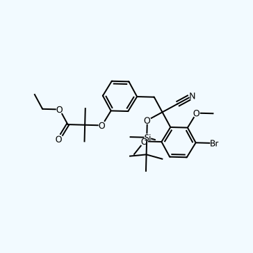 CCOC(=O)C(C)(C)Oc1cccc(CC(C#N)(O[Si](C)(C)C(C)(C)C)c2c(OC)ccc(Br)c2OC)c1